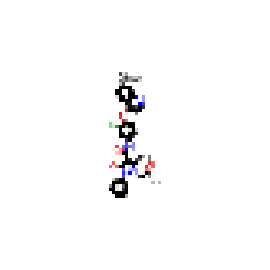 CC[C@H](O)Cn1c(C)c(C(=O)Nc2ccc(Oc3ccnc4cc(OC)ccc34)c(F)c2)c(=O)n1-c1ccccc1